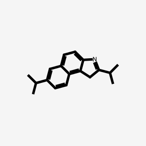 CC(C)C1=Nc2ccc3cc(C(C)C)ccc3c2C1